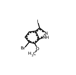 COc1c(Br)ccc2c(I)n[nH]c12